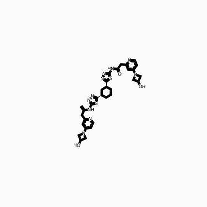 C=C(Cc1cc(N2CC(O)C2)ccn1)Nc1nnc([C@H]2CCC[C@H](c3nnc(NC(=O)Cc4cc(N5CC(O)C5)ccn4)s3)C2)s1